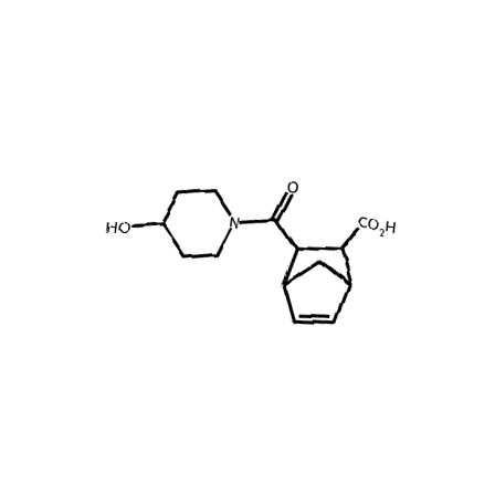 O=C(O)C1C2C=CC(C2)C1C(=O)N1CCC(O)CC1